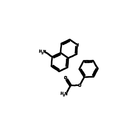 NC(=O)Oc1ccccc1.Nc1cccc2cnccc12